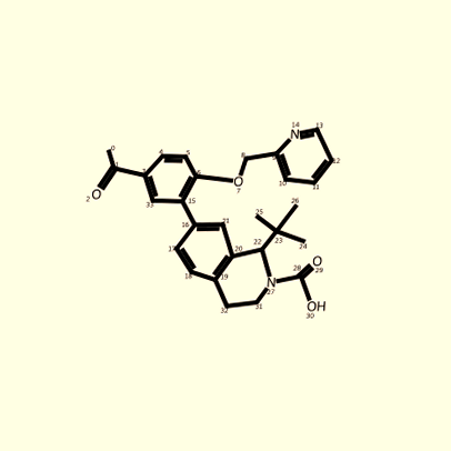 CC(=O)c1ccc(OCc2ccccn2)c(-c2ccc3c(c2)C(C(C)(C)C)N(C(=O)O)CC3)c1